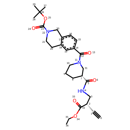 C#C[C@@H](CNC(=O)[C@@H]1CCCN(C(=O)c2ccc3c(c2)CCN(C(=O)OC(C)(C)C)C3)C1)C(=O)OCC